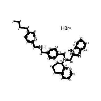 Br.CCCCc1ccc(CNCc2ccc(CN(Cc3nc4ccccc4[nH]3)C3CCCc4cccnc43)cc2)nc1